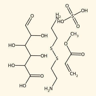 C=CC(=O)OC.NCCSSCCN.O=CC(O)C(O)C(O)C(O)C(=O)O.O=S(=O)(O)O